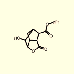 CCCOC(=O)C1C2CC3C(OC(=O)C31)C2O